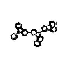 c1ccc(-n2c3ccccc3c3cc(-c4ccc5c(c4)c4c6ccccc6ccc4n5-c4ccc5c(c4)-c4cccc6nccc-5c46)ccc32)cc1